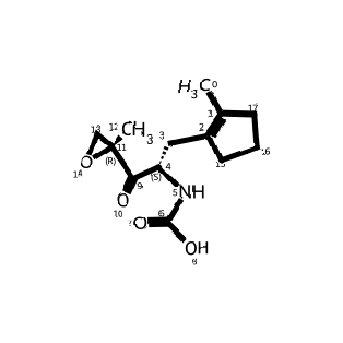 CC1=C(C[C@H](NC(=O)O)C(=O)[C@@]2(C)CO2)CCC1